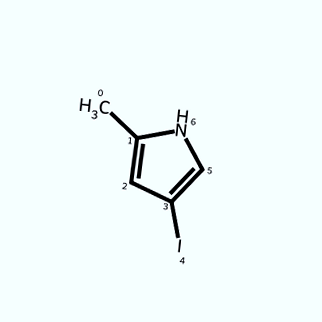 Cc1cc(I)c[nH]1